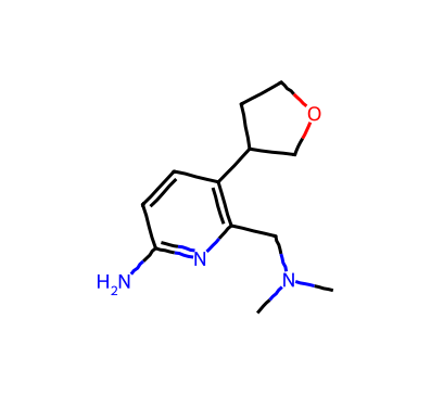 CN(C)Cc1nc(N)ccc1C1CCOC1